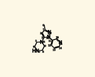 Cc1cc(N2CCNCC2)n(-c2cccnc2)n1